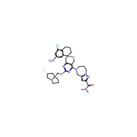 CN(C)C(=O)c1cc2n(n1)CCCN(c1nc(OC[C@@]34CCCN3C[C@H](F)C4)nc3c1CO[C@]1(CCCc4c(Cl)cc(N)cc41)C3)C2